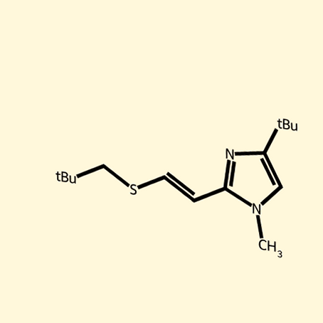 Cn1cc(C(C)(C)C)nc1C=CSCC(C)(C)C